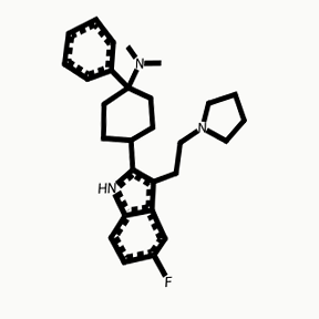 CN(C)C1(c2ccccc2)CCC(c2[nH]c3ccc(F)cc3c2CCN2CCCC2)CC1